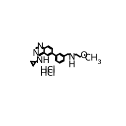 COCCNCc1cccc(-c2ccc3ncnc(NC4CC4)c3c2)c1.Cl.Cl